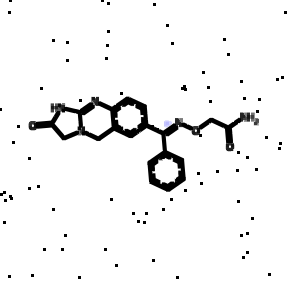 NC(=O)CO/N=C(\c1ccccc1)c1ccc2c(c1)CN1CC(=O)NC1=N2